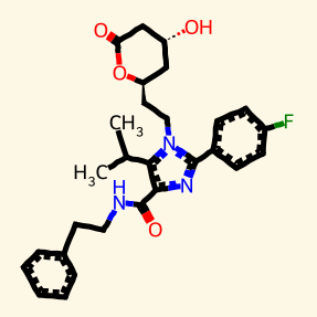 CC(C)c1c(C(=O)NCCc2ccccc2)nc(-c2ccc(F)cc2)n1CC[C@@H]1C[C@@H](O)CC(=O)O1